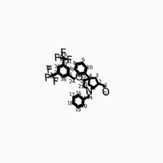 O=CC1CC2(c3ccccc3)CC1N(Cc1ccccc1)CC2OCc1cc(C(F)(F)F)cc(C(F)(F)F)c1